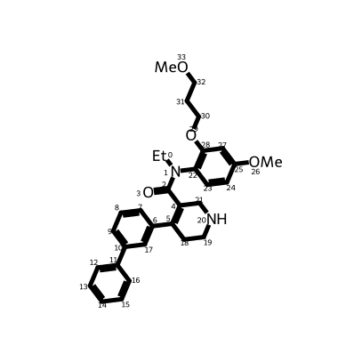 CCN(C(=O)C1=C(c2cccc(-c3ccccc3)c2)CCNC1)c1ccc(OC)cc1OCCCOC